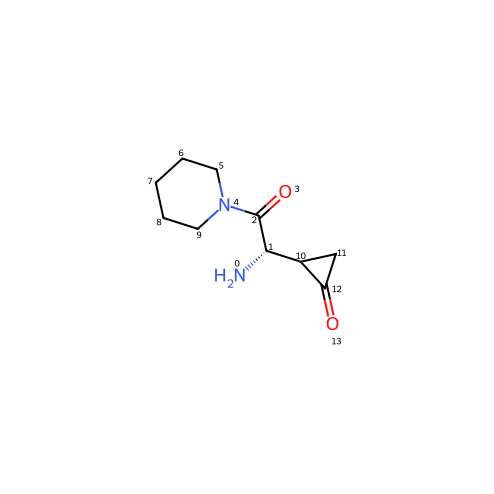 N[C@H](C(=O)N1CCCCC1)C1CC1=O